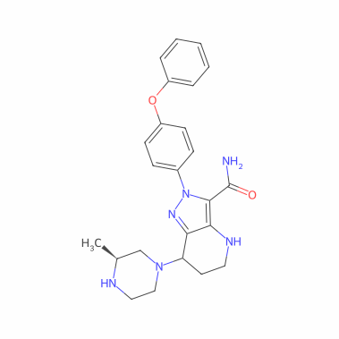 C[C@H]1CN(C2CCNc3c2nn(-c2ccc(Oc4ccccc4)cc2)c3C(N)=O)CCN1